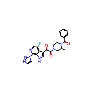 CC1CN(C(=O)C(=O)c2c[nH]c3c(-n4ccnn4)ncc(F)c23)CCN1C(=O)c1ccccc1